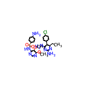 CCc1nc(N)nc(N)c1-c1ccc(Cl)cc1.COc1ncnc(NS(=O)(=O)c2ccc(N)cc2)c1OC